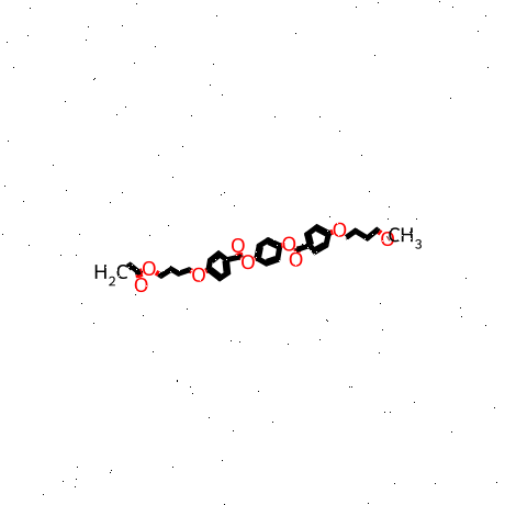 C=CC(=O)OCCCCOc1ccc(C(=O)Oc2ccc(OC(=O)c3ccc(OCCCCOC)cc3)cc2)cc1